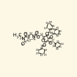 CCN1C(=O)CC2(CCN(C(=O)OCC3O[C@@H](OCc4ccccc4)[C@@H](OCc4ccccc4)C(OCc4ccccc4)[C@@H]3OCc3ccccc3)CC2)C1=O